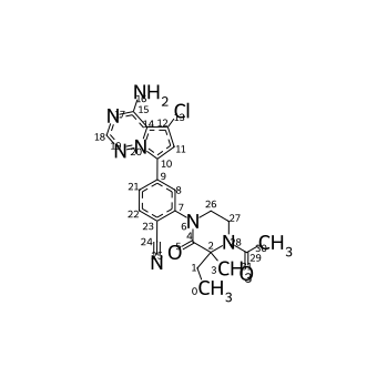 CCC1(C)C(=O)N(c2cc(-c3cc(Cl)c4c(N)ncnn34)ccc2C#N)CCN1C(C)=O